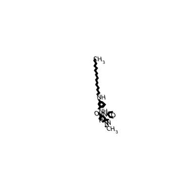 CCCCCCCCCCCCCCCCNCc1cccc(CNC(=O)c2cnc3c(cnn3CC)c2NC2CCOCC2)c1